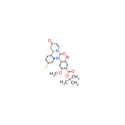 COc1cc(NC(=O)N2C=CC(=O)CC2c2ccc(F)cc2)c(Br)cc1C(=O)OC(C)(C)C